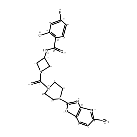 Cc1ccc2oc(N3CCN(C(=O)N4CC(NC(=O)c5ccc(F)cc5Cl)C4)CC3)nc2n1